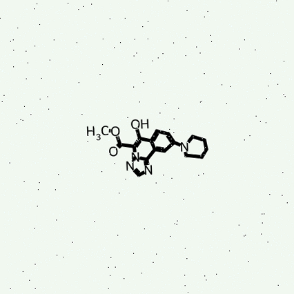 COC(=O)c1c(O)c2ccc(N3CCCCC3)cc2c2ncnn12